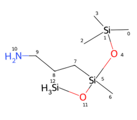 C[Si](C)(C)O[Si](C)(CCCN)O[SiH3]